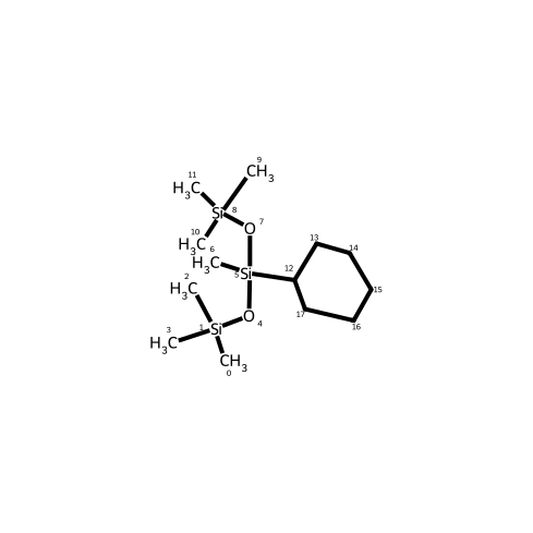 C[Si](C)(C)O[Si](C)(O[Si](C)(C)C)C1CCCCC1